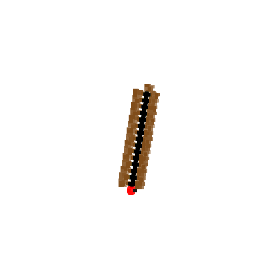 [O]C(Br)(Br)C(Br)(Br)C(Br)(Br)C(Br)(Br)C(Br)(Br)C(Br)(Br)C(Br)(Br)C(Br)(Br)C(Br)(Br)C(Br)(Br)C(Br)(Br)C(Br)(Br)C(Br)(Br)C(Br)(Br)C(Br)(Br)Br